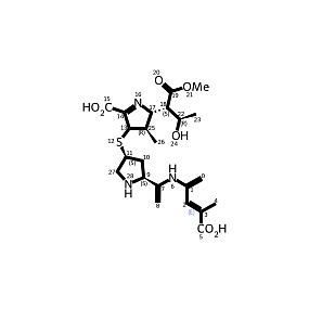 C=C(/C=C(\C)C(=O)O)NC(=C)[C@@H]1C[C@H](SC2C(C(=O)O)=NC([C@H](C(=O)OC)[C@@H](C)O)[C@H]2C)CN1